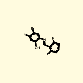 Oc1cc(F)c(Br)cc1N=Cc1c(F)cccc1F